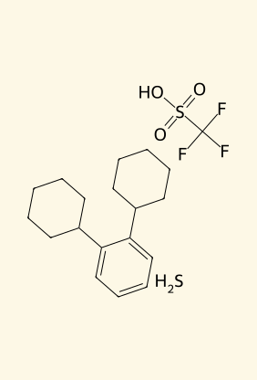 O=S(=O)(O)C(F)(F)F.S.c1ccc(C2CCCCC2)c(C2CCCCC2)c1